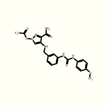 NC(=O)c1nn(OC(=O)C(F)(F)F)cc1NCc1cccc(NC(=O)Nc2ccc(OC(F)(F)F)cc2)c1